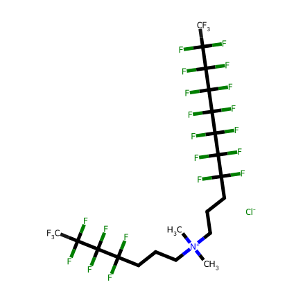 C[N+](C)(CCCC(F)(F)C(F)(F)C(F)(F)C(F)(F)F)CCCC(F)(F)C(F)(F)C(F)(F)C(F)(F)C(F)(F)C(F)(F)C(F)(F)C(F)(F)F.[Cl-]